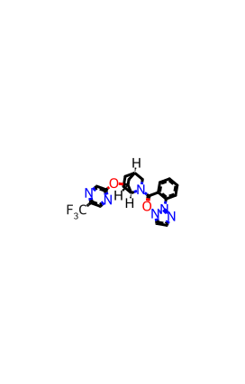 O=C(c1ccccc1-n1nccn1)N1C[C@@H]2CC[C@H]1[C@H](Oc1cnc(C(F)(F)F)cn1)C2